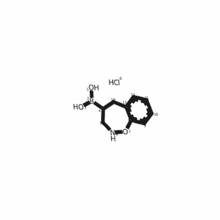 Cl.OB(O)C1CNOc2ccccc2C1